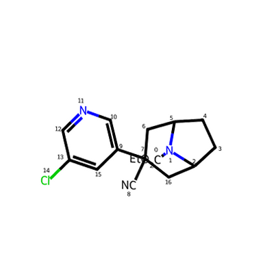 CCOC(=O)N1C2CCC1CC(C#N)(c1cncc(Cl)c1)C2